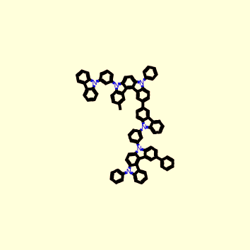 Cc1ccc2c(c1)c1c3c4cc(-c5ccc6c(c5)c5ccccc5n6-c5cccc(-n6c7ccc(-c8ccccc8)cc7c7c8c9ccccc9n(-c9ccccc9)c8ccc76)c5)ccc4n(-c4ccccc4)c3ccc1n2-c1cccc(-n2c3ccccc3c3ccccc32)c1